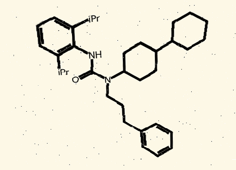 CC(C)c1cccc(C(C)C)c1NC(=O)N(CCCc1ccccc1)C1CCC(C2CCCCC2)CC1